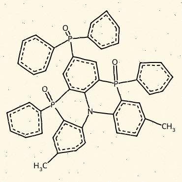 Cc1ccc2c(c1)P(=O)(c1ccccc1)c1cc(P(=O)(c3ccccc3)c3ccccc3)cc3c1N2c1ccc(C)cc1P3(=O)c1ccccc1